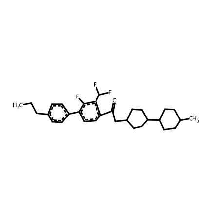 CCCc1ccc(-c2ccc(C(=O)CC3CCC(C4CCC(C)CC4)CC3)c(C(F)F)c2F)cc1